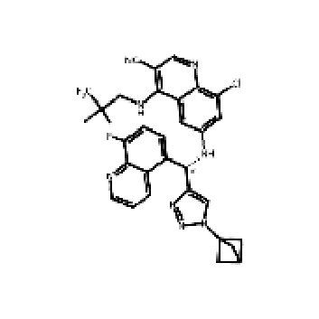 CC(C)(CNc1c(C#N)cnc2c(Cl)cc(N[C@H](c3cn(C45CC(C4)C5)nn3)c3ccc(F)c4ncccc34)cc12)C(F)(F)F